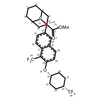 COC(=O)C1CC2CCCC(C1)N2[C@H](C)c1ccc2c(C(F)(F)F)c(O[C@H]3CC[C@@H](C(F)(F)F)CC3)ccc2c1